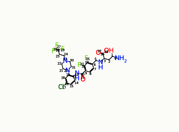 NCCC(NCc1ccc(C(=O)Nc2ccc(Cl)cc2N2CCN(CCC(F)(F)F)CC2)c(F)c1F)C(=O)O